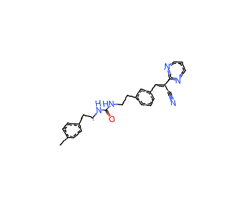 Cc1ccc(C[CH]NC(=O)NCCc2cccc(C=C(C#N)c3ncccn3)c2)cc1